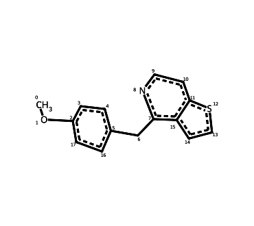 COc1ccc(Cc2nccc3sccc23)cc1